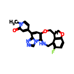 Cn1ccc(-c2cc3c(n4cnnc24)NCc2c(F)ccc4c2[C@@H](CO4)CO3)cc1=O